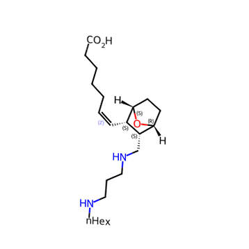 CCCCCCNCCCNC[C@@H]1[C@H](/C=C\CCCCC(=O)O)[C@@H]2CC[C@H]1O2